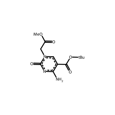 COC(=O)Cn1cc(C(=O)OC(C)(C)C)c(N)nc1=O